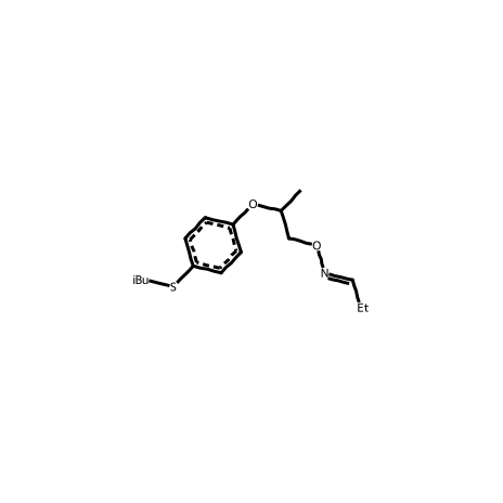 CC/C=N/OCC(C)Oc1ccc(SC(C)CC)cc1